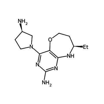 CC[C@@H]1CCOc2c(nc(N)nc2N2CC[C@@H](N)C2)N1